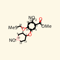 COC(=O)c1cc(OC2CCB(C#N)CC2)c(OCSC)cc1[N+](=O)[O-]